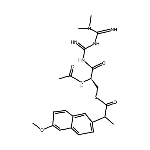 COc1ccc2cc(C(C)C(=O)SC[C@@H](NC(C)=O)C(=O)NC(=N)NC(=N)N(C)C)ccc2c1